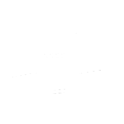 C=Cc1ccc(C)cc1C=C